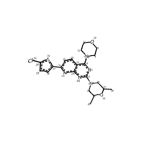 CC1CN(c2nc(N3CCOCC3)c3ccc(-c4ccc(Cl)s4)nc3n2)CC(C)O1